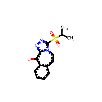 CC(C)S(=O)(=O)c1nnc2c(=O)c3ccccc3ccn12